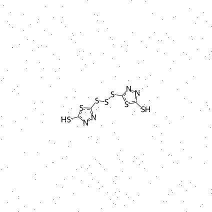 Sc1nnc(SSSc2nnc(S)s2)s1